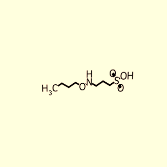 CCCCONCCCS(=O)(=O)O